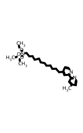 CCO[Si](CCCCCCCCCCCCc1ccnc(-c2cc(C)ccn2)c1)(OCC)OCC